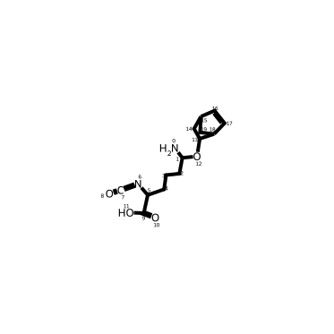 NC(CCCC(N=C=O)C(=O)O)OC1CC2C=CC1C2